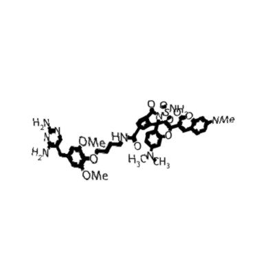 CNc1ccc2cc(C3=CC4(c5ccc(N(C)C)cc5O3)c3cc(C(=O)NCCCCOc5c(OC)cc(Cc6cnc(N)nc6N)cc5OC)ccc3C(=O)N4S(N)(=O)=O)c(=O)oc2c1